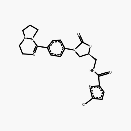 O=C(NC[C@H]1CN(c2ccc(C3=NCCN4CCCN34)cc2)C(=O)O1)c1ccc(Cl)s1